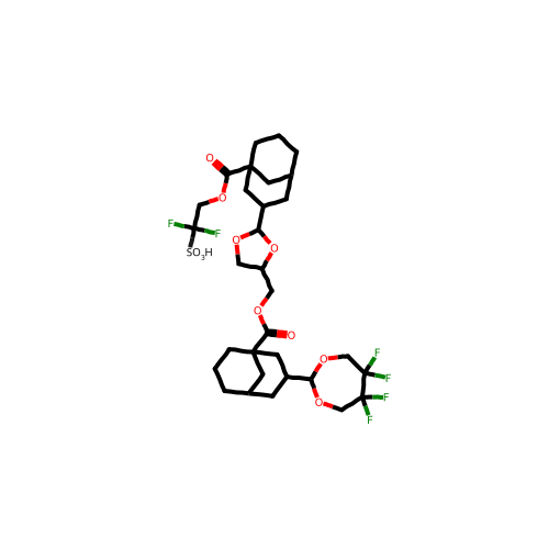 O=C(OCC1COC(C2CC3CCCC(C(=O)OCC(F)(F)S(=O)(=O)O)(C3)C2)O1)C12CCCC(CC(C3OCC(F)(F)C(F)(F)CO3)C1)C2